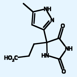 Cc1cc(C2(CCC(=O)O)NC(=O)NC2=O)n[nH]1